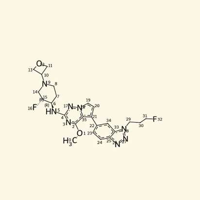 COc1nc(N[C@@H]2CCN(C3COC3)C[C@H]2F)nn2ccc(-c3ccc4nnn(CCCF)c4c3)c12